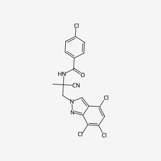 CC(C#N)(Cn1cc2c(Cl)cc(Cl)c(Cl)c2n1)NC(=O)c1ccc(Cl)cc1